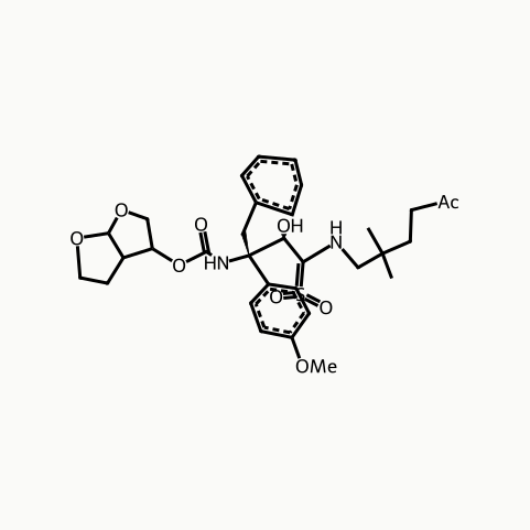 COc1ccc([C@](Cc2ccccc2)(NC(=O)OC2COC3OCCC23)[C@@H](O)C(NCC(C)(C)CCC(C)=O)=S(=O)=O)cc1